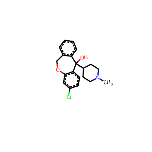 CN1CCC(C2(O)c3ccccc3COc3cc(Cl)ccc32)CC1